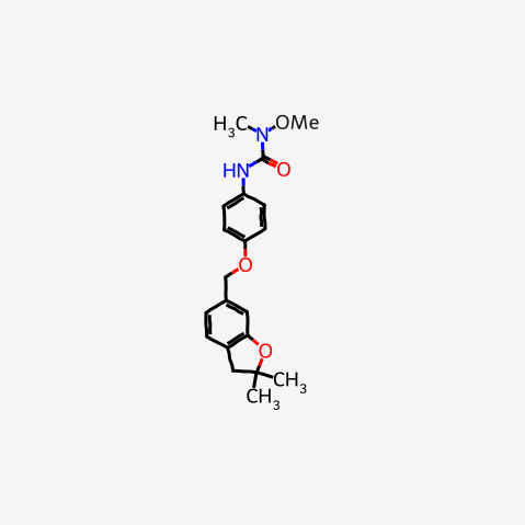 CON(C)C(=O)Nc1ccc(OCc2ccc3c(c2)OC(C)(C)C3)cc1